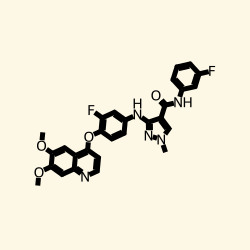 COc1cc2nccc(Oc3ccc(Nc4nn(C)cc4C(=O)Nc4cccc(F)c4)cc3F)c2cc1OC